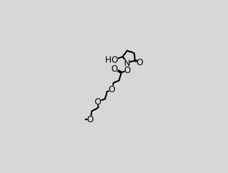 COCCOCCOCCC(=O)ON1C(=O)CCC1O